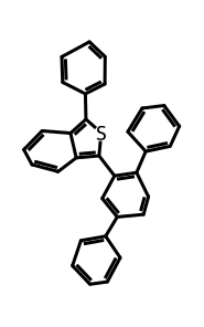 c1ccc(-c2ccc(-c3ccccc3)c(-c3sc(-c4ccccc4)c4ccccc34)c2)cc1